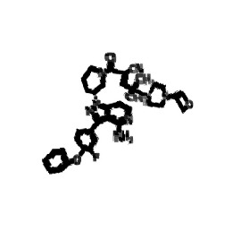 CC(C)(C=C(C#N)C(=O)N1CCC[C@@H](n2nc(-c3ccc(Oc4ccccc4)c(F)c3)c3c(N)nccc32)C1)N1CCN(C2COC2)CC1